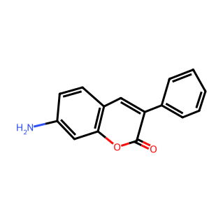 Nc1ccc2cc(-c3ccccc3)c(=O)oc2c1